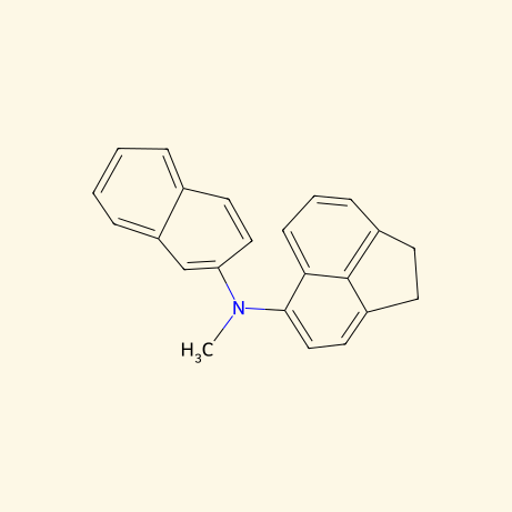 CN(c1ccc2ccccc2c1)c1ccc2c3c(cccc13)CC2